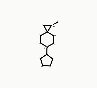 C[C@@H]1CC12CCN(C1CCCC1)CC2